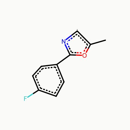 Cc1[c]nc(-c2ccc(F)cc2)o1